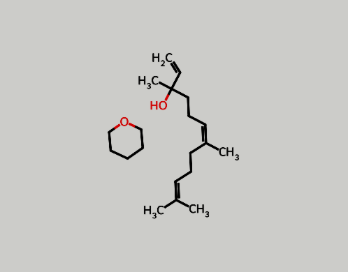 C1CCOCC1.C=CC(C)(O)CCC=C(C)CCC=C(C)C